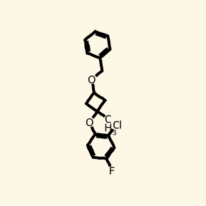 CC1(Oc2ccc(F)cc2Cl)CC(OCc2ccccc2)C1